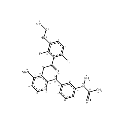 CCCSNc1ccc(F)c(C(=O)Cc2c(NC)ncnc2Nc2cccc(N(N)C(C)=N)c2)c1F